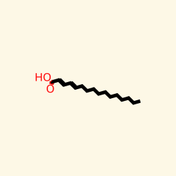 CCCCCCCCCCCC=C/C=C/C(=O)O